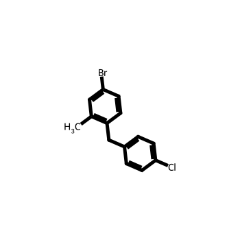 Cc1cc(Br)ccc1Cc1ccc(Cl)cc1